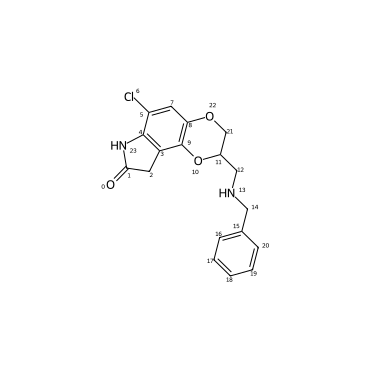 O=C1Cc2c(c(Cl)cc3c2OC(CNCc2ccccc2)CO3)N1